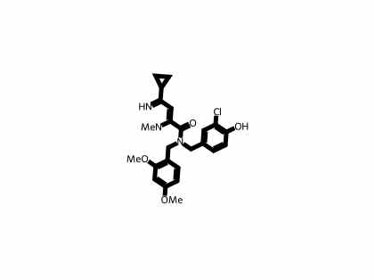 CN/C(=C\C(=N)C1CC1)C(=O)N(Cc1ccc(O)c(Cl)c1)Cc1ccc(OC)cc1OC